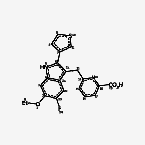 CCOc1cc2[nH]c(-c3ccsc3)c(Cc3cccc(C(=O)O)n3)c2cc1F